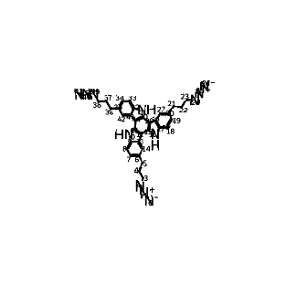 [N-]=[N+]=NCCCc1ccc2[nH]c3c(c2c1)c1[nH]c2ccc(CCCN=[N+]=[N-])cc2c1c1[nH]c2ccc(CCCN=[N+]=[N-])cc2c31